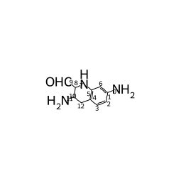 Nc1ccc2c(c1)NC(C=O)C(N)C2